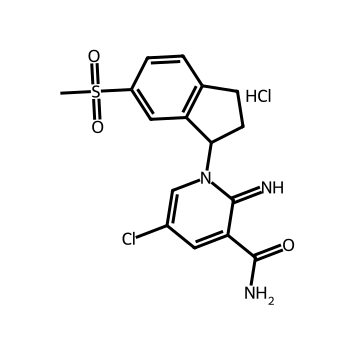 CS(=O)(=O)c1ccc2c(c1)C(n1cc(Cl)cc(C(N)=O)c1=N)CC2.Cl